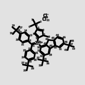 CC1C=C(C(C)(C)C)C=[C]1[Zr+2](=[C](c1ccc(C(C)(C)C)cc1)c1ccc(C(C)(C)C)cc1)[c]1cc(C(C)(C)C)cc2c1Cc1ccc(C(C)(C)C)cc1-2.[Cl-].[Cl-]